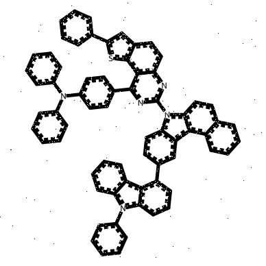 c1ccc(-c2cc3ccc4nc(-n5c6ccc(-c7cccc8c7c7ccccc7n8-c7ccccc7)cc6c6c7ccccc7ccc65)nc(-c5ccc(N(c6ccccc6)c6ccccc6)cc5)c4c3s2)cc1